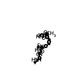 Cn1c(=O)n(C2CCC(=O)NC2=O)c2ccc(CN3CCN(C[C@H]4CC[C@H](n5cc(NC(=O)c6coc(-c7ccnc(NCC8CC8)c7)n6)c(C(F)F)n5)CC4)CC3)cc21